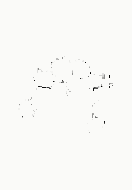 O=c1c2cc(NS(=O)(=O)CCN3CCCC3)ccc2ccc2ncc(-c3ccccc3)cc12